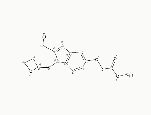 COC(=O)COc1ccc2c(c1)nc(CCl)n2C[C@@H]1CCO1